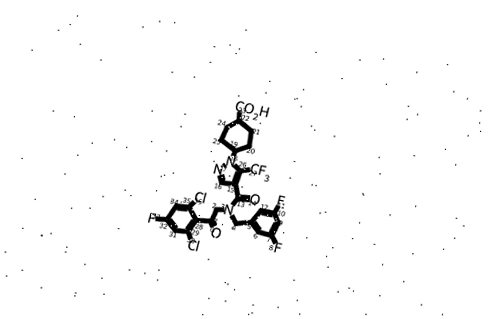 O=C(CN(Cc1cc(F)cc(F)c1)C(=O)c1cnn(C2CCC(C(=O)O)CC2)c1C(F)(F)F)c1c(Cl)cc(F)cc1Cl